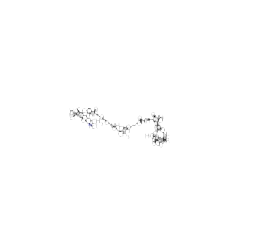 CC/N=c1/cc2oc3cc(NCC)c(C)cc3c(-c3cc(C(=O)NCCOCCOCCNOCCC(C)(C)SSCOCCCCOC(=O)NCC#Cc4cn([C@H]5C[C@H](OCN=[N+]=[N-])[C@@H](COP(=O)(O)OP(=O)(O)OP(=O)(O)O)O5)c(=O)[nH]c4=O)ccc3C(=O)O)c-2cc1C